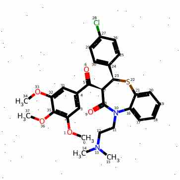 COc1cc(C(=O)[C@@H]2C(=O)N(CCN(C)C)c3ccccc3S[C@@H]2c2ccc(Cl)cc2)cc(OC)c1OC